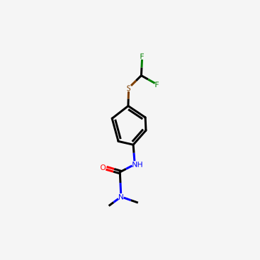 CN(C)C(=O)Nc1ccc(SC(F)F)cc1